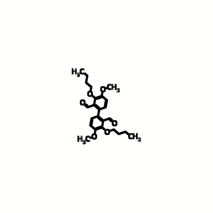 CCCCOc1c(OC)ccc(-c2ccc(OC)c(OCCCC)c2C=O)c1C=O